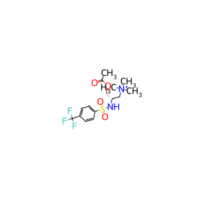 CC(=O)OC[C@H](C[N+](C)(C)C)NS(=O)(=O)c1ccc(C(F)(F)F)cc1